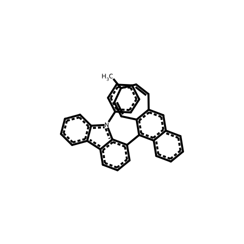 CC1C=Cc2cc3ccccc3c(-c3cccc4c5ccccc5n(-c5ccccc5)c34)c2C=C1